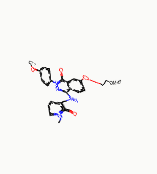 COCCOc1ccc2c(Nc3cccn(C)c3=O)nn(-c3ccc(OC(F)(F)F)cc3)c(=O)c2c1